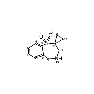 O=S1(=O)c2ccccc2CNCC12CC2